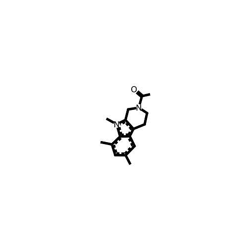 CC(=O)N1CCc2c(n(C)c3c(C)cc(C)cc23)C1